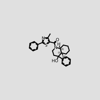 Cc1nc(-c2ccccc2)sc1C(=O)N1CCC(O)(c2ccccc2)[C@H]2CCCC[C@H]21